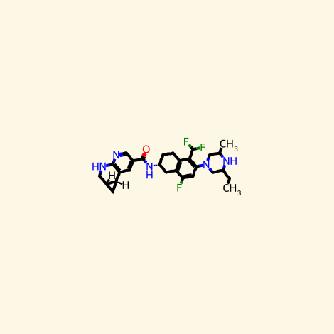 CCC1CN(c2cc(F)c3c(c2C(F)F)CC[C@@H](NC(=O)c2cnc4c(c2)[C@@H]2C[C@@H]2CN4)C3)CC(C)N1